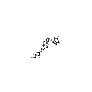 Cc1cc2occ(COc3cccc4[nH]c(C(=O)NC5CCN(CCN6CC[C@H](O)[C@@H](C)C6)CC5)cc34)c2cc1C